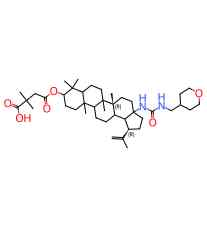 C=C(C)[C@@H]1CCC2(NC(=O)NCC3CCOCC3)CC[C@]3(C)C(CCC4C5(C)CCC(OC(=O)CC(C)(C)C(=O)O)C(C)(C)C5CCC43C)C12